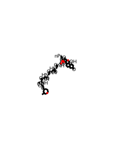 CCCC1O[C@@H]2C[C@H]3[C@@H]4CCC5=CC(=O)C=C[C@]5(C)[C@H]4[C@@H](O)C[C@]3(C)[C@]2(C(=O)COCNC(=O)CNC(=O)CNC(=O)CNC(=O)CNC(=O)[C@H](CO)NC(=O)COC2/C=C(/C)CCCCC2)O1